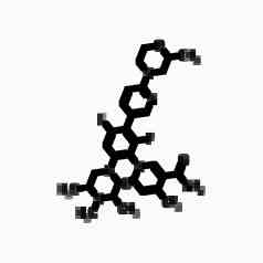 CC1CN(c2ccc(-c3c(F)cc(N4C[C@@H](C)N(C)[C@@H](C)C4)c(-n4cc(C(N)=O)c(C(F)(F)F)cc4=O)c3F)cn2)CCO1